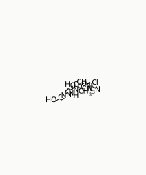 CC1(C)C(NC(=O)c2ccc(N3CCC(CO)CC3)nn2)C(C)(C)C1Oc1cnc(C#N)c(Cl)c1